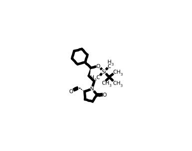 CC(C)(C)[Si](C)(C)O[C@@H](CCN1C(=O)CC[C@@H]1C=O)C1CCCCC1